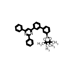 CC1(C)OB(c2cccc(-c3cccc(-c4cc(-c5ccccc5)nc(-c5ccccc5)n4)c3)c2)OC1(C)C